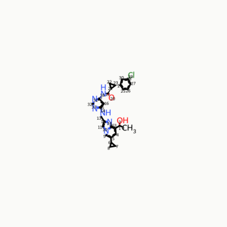 CC(O)c1cc(C2CC2)cn2cc(CNc3cc(NC(=O)[C@H]4C[C@@H]4c4cccc(Cl)c4)ncn3)nc12